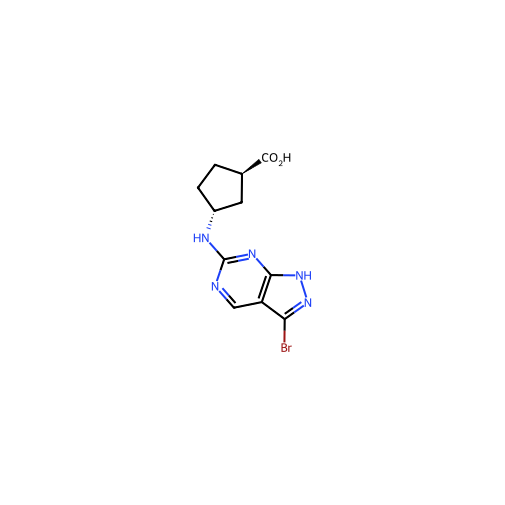 O=C(O)[C@@H]1CC[C@@H](Nc2ncc3c(Br)n[nH]c3n2)C1